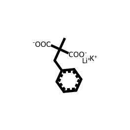 CC(Cc1ccccc1)(C(=O)[O-])C(=O)[O-].[K+].[Li+]